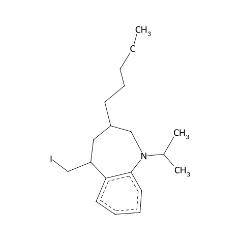 CCCCCC1CC(CI)c2ccccc2N(C(C)C)C1